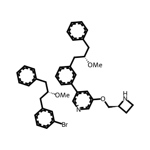 CO[C@@H](Cc1ccccc1)Cc1cccc(-c2cncc(OC[C@@H]3CCN3)c2)c1.CO[C@@H](Cc1ccccc1)Cc1cccc(Br)c1